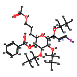 CC(=O)OCCCC1O[C@@H](C(/C=C/I)O[Si](C)(C)C(C)(C)C)C(O[Si](C)(C)C(C)(C)C)C(O[Si](C)(C)C(C)(C)C)[C@H]1OC(=O)c1ccccc1